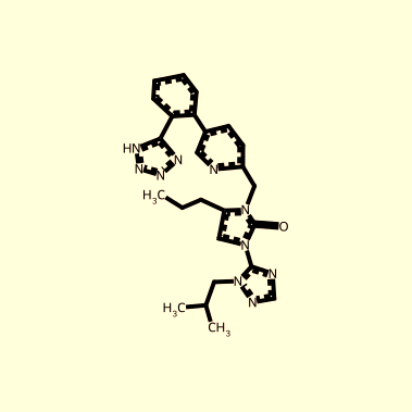 CCCc1cn(-c2ncnn2CC(C)C)c(=O)n1Cc1ccc(-c2ccccc2-c2nnn[nH]2)cn1